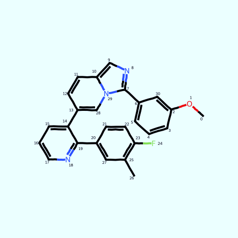 COc1cccc(-c2ncc3ccc(-c4cccnc4-c4ccc(F)c(C)c4)cn23)c1